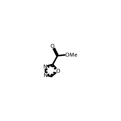 COC(=O)c1nnco1